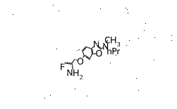 CCCN(C)c1nc2ccc(OC/C(=C/F)CN)cc2o1